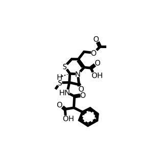 CSC1(NC(=O)C(C(=O)O)c2ccccc2)C(=O)N2C(C(=O)O)=C(COC(C)=O)CS[C@@H]21